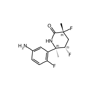 C[C@@]1(F)C[C@H](F)[C@@](C)(c2cc(N)ccc2F)NC1=O